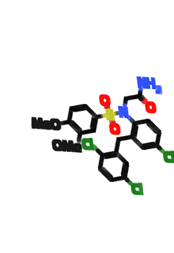 COc1ccc(S(=O)(=O)N(CC(N)=O)c2ccc(Cl)cc2Cc2cc(Cl)ccc2Cl)cc1OC